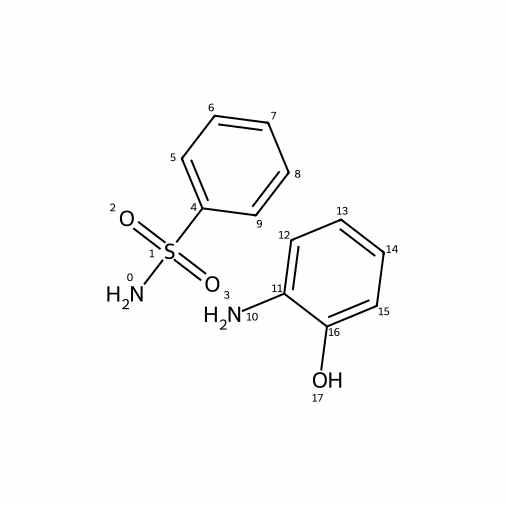 NS(=O)(=O)c1ccccc1.Nc1ccccc1O